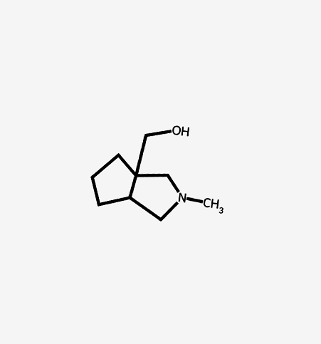 CN1CC2CCCC2(CO)C1